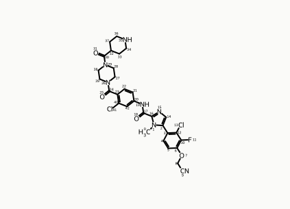 Cn1c(-c2ccc(OCC#N)c(F)c2Cl)cnc1C(=O)Nc1ccc(C(=O)N2CCN(C(=O)C3CCNCC3)CC2)c(Cl)c1